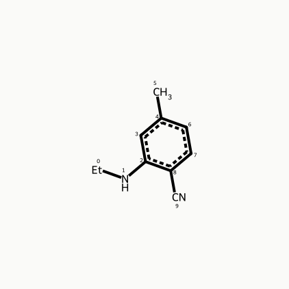 CCNc1cc(C)ccc1C#N